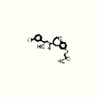 O=C(O)COc1ccc2c(c1)C[C@@H](NC[C@H](O)c1cccc(Cl)c1)CCO2